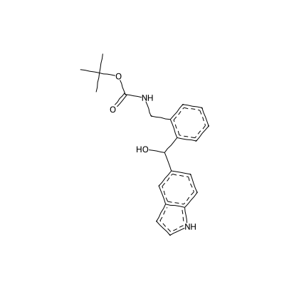 CC(C)(C)OC(=O)NCc1ccccc1C(O)c1ccc2[nH]ccc2c1